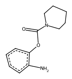 Nc1ccccc1OC(=O)N1CCCCC1